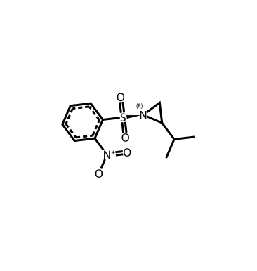 CC(C)C1C[N@]1S(=O)(=O)c1ccccc1[N+](=O)[O-]